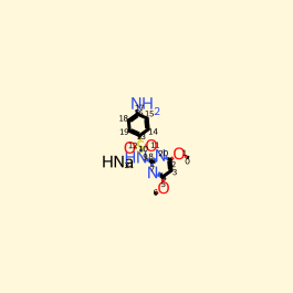 COc1cc(OC)nc(NS(=O)(=O)c2ccc(N)cc2)n1.[NaH]